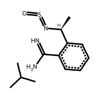 CC(C)C.C[C@H](N=S=O)c1ccccc1C(=N)N